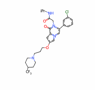 CC(C)NC(=O)Cn1c(-c2cccc(Cl)c2)cn2cc(OCCCN3CCC(C(F)(F)F)CC3)cc2c1=O